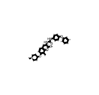 Cc1c(OC2CCN(C)CC2)ccc2cc(NC(=O)Nc3ccc(Oc4ccccc4)cc3)c(=O)oc12